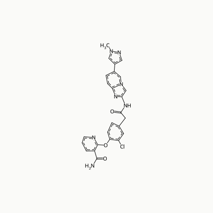 Cn1cc(-c2ccc3nc(NC(=O)Cc4ccc(Oc5ncccc5C(N)=O)c(Cl)c4)cn3c2)cn1